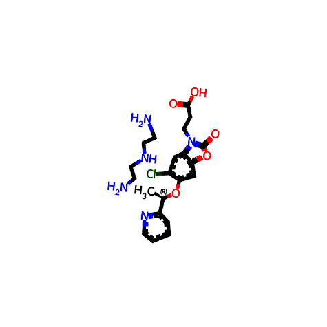 C[C@@H](Oc1cc2oc(=O)n(CCC(=O)O)c2cc1Cl)c1ccccn1.NCCNCCN